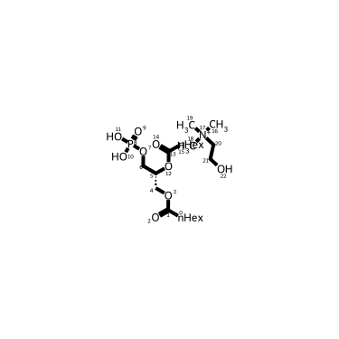 CCCCCCC(=O)OC[C@H](COP(=O)(O)O)OC(=O)CCCCCC.C[N+](C)(C)CCO